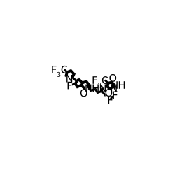 O=c1[nH]ncc(NC(CCCn2ccc3cc(-c4ccc(C(F)(F)F)cn4)c(F)cc3c2=O)COC(F)F)c1C(F)(F)F